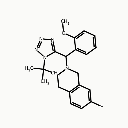 COc1ccccc1C(c1nnnn1C(C)(C)C)N1CCc2ccc(F)cc2C1